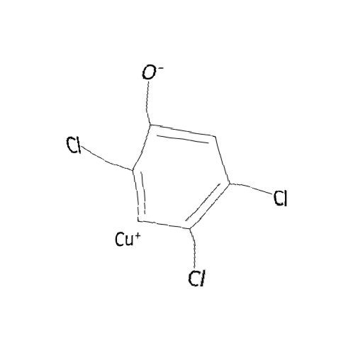 [Cu+].[O-]c1cc(Cl)c(Cl)cc1Cl